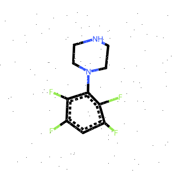 Fc1cc(F)c(F)c(N2CCNCC2)c1F